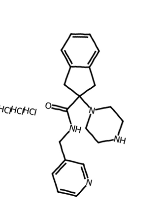 Cl.Cl.Cl.O=C(NCc1cccnc1)C1(N2CCNCC2)Cc2ccccc2C1